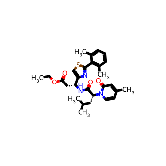 CCOC(=O)C[C@@H](NC(=O)[C@@H](CC(C)C)n1ccc(C)cc1=O)c1csc(-c2c(C)cccc2C)n1